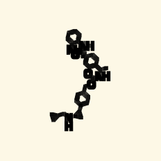 C[C@@H](NC(=O)OCc1ccc([C@H]2C[C@@H]2NCC2CC2)cc1)c1ccc(C(=O)Nc2ccccc2N)cc1